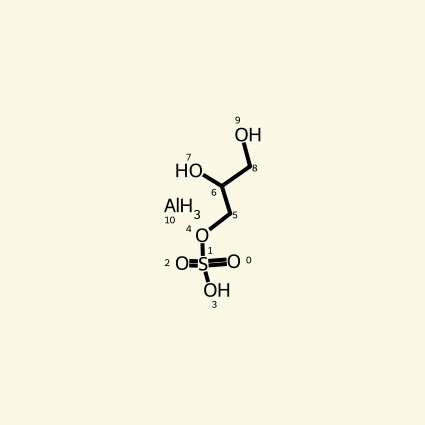 O=S(=O)(O)OCC(O)CO.[AlH3]